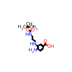 CC(C)(C)OC(=O)NCCCNc1cc(C(=O)O)ccc1N